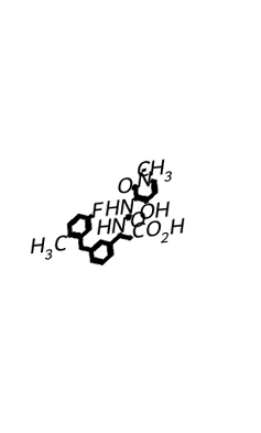 Cc1ccc(F)cc1Cc1cccc(C(CC(=O)O)NC(=O)Nc2c(O)ccn(C)c2=O)c1